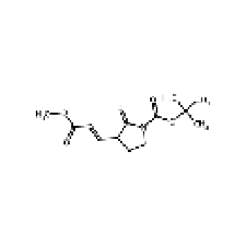 COC(=O)C=CC1CCN(C(=O)OC(C)(C)C)C1=O